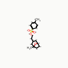 Cc1ccc(S(=O)(=O)OCCC2CC3CCC(C)(C2)O3)cc1